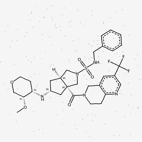 CO[C@@H]1COCC[C@@H]1N[C@@H]1C[C@H]2CN(S(=O)(=O)NCc3ccccc3)C[C@@]2(C(=O)N2CCc3ncc(C(F)(F)F)cc3C2)C1